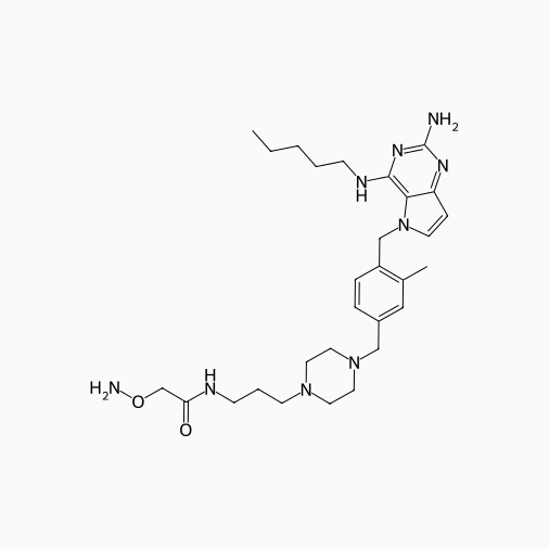 CCCCCNc1nc(N)nc2ccn(Cc3ccc(CN4CCN(CCCNC(=O)CON)CC4)cc3C)c12